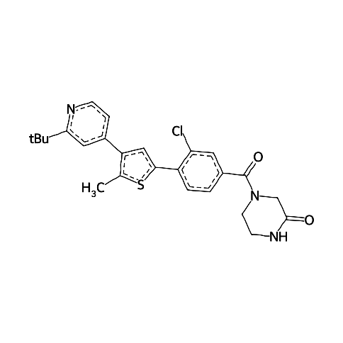 Cc1sc(-c2ccc(C(=O)N3CCNC(=O)C3)cc2Cl)cc1-c1ccnc(C(C)(C)C)c1